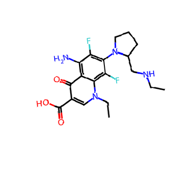 CCNCC1CCCN1c1c(F)c(N)c2c(=O)c(C(=O)O)cn(CC)c2c1F